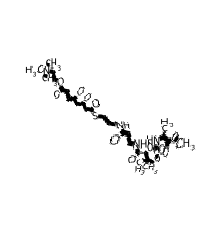 COC(=O)[C@H](C)NP1(=O)OCC(C)(C)[C@H](C(=O)NCCC(=O)NCCSC(=O)CC(=O)CC(=O)CCC(=O)OCC[N+](C)(C)C)O1